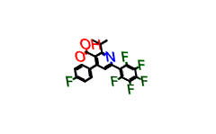 CC(C)c1nc(-c2c(F)c(F)c(F)c(F)c2F)cc(-c2ccc(F)cc2)c1C(=O)O